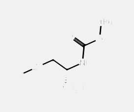 CC(C)(C)OC(=O)N[C@@H]([CH2][Zn][I])C(=O)O